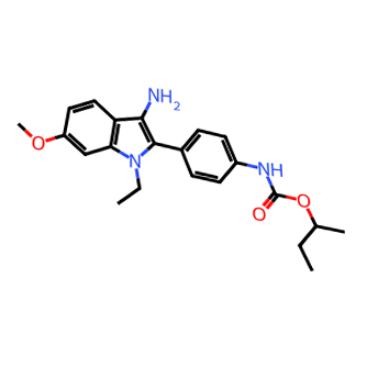 CCC(C)OC(=O)Nc1ccc(-c2c(N)c3ccc(OC)cc3n2CC)cc1